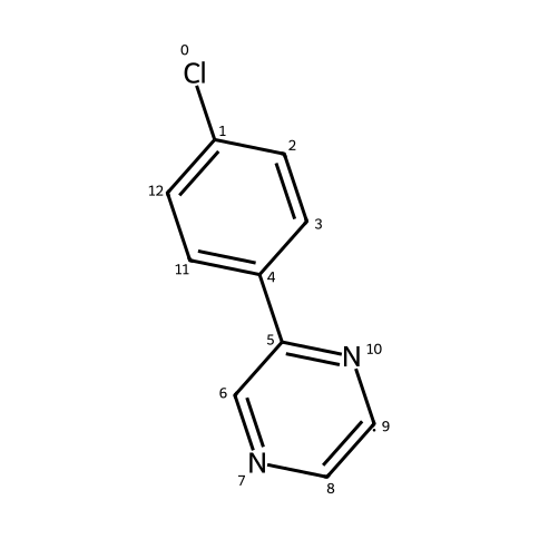 Clc1ccc(-c2cnc[c]n2)cc1